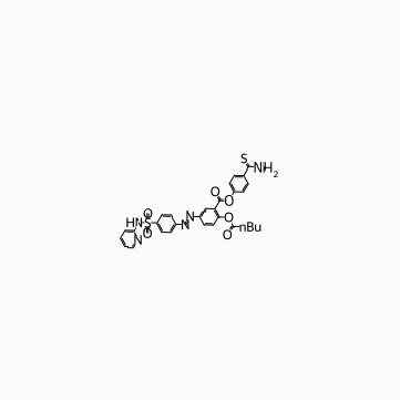 CCCCC(=O)Oc1ccc(/N=N/c2ccc(S(=O)(=O)Nc3ccccn3)cc2)cc1C(=O)Oc1ccc(C(N)=S)cc1